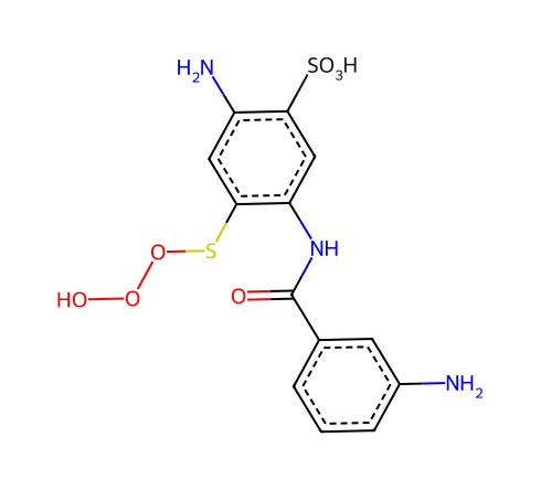 Nc1cccc(C(=O)Nc2cc(S(=O)(=O)O)c(N)cc2SOOO)c1